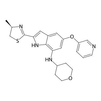 C[C@@H]1CSC(c2cc3cc(Oc4cccnc4)cc(NC4CCOCC4)c3[nH]2)=N1